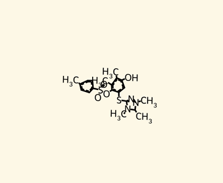 Cc1ccc(S(=O)(=O)Oc2c(SC3=NN(C)C(C)N3C)cc(O)c(C)c2C)cc1